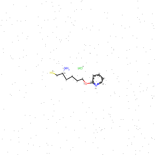 Cl.N[C@@H](CS)CCCCOc1ccccn1